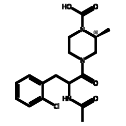 CC(=O)NC(Cc1ccccc1Cl)C(=O)N1CCN(C(=O)O)[C@@H](C)C1